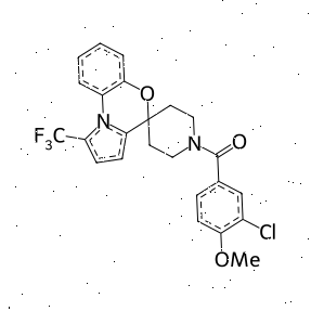 COc1ccc(C(=O)N2CCC3(CC2)Oc2ccccc2-n2c(C(F)(F)F)ccc23)cc1Cl